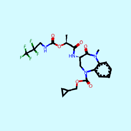 C[C@H](OC(=O)NCC(F)(F)C(F)(F)F)C(=O)N[C@H]1CN(C(=O)OCC2CC2)c2ccccc2N(C)C1=O